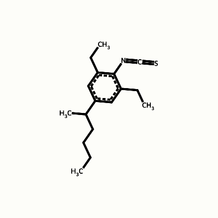 CCCCC(C)c1cc(CC)c(N=C=S)c(CC)c1